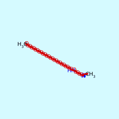 CCCCCn1cc(COCCOCCOCCOCCC(=O)NCCOCCOCCOCCOCCOCCOCCOCCOCCOCCOCCOCCOCCOCCOCCOCCOCCOCCOCCOCCOCCOCCOCCOCCOCCC(C)=O)nn1